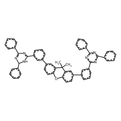 CC1(C)c2cc(-c3cccc(C4=NC(c5ccccc5)=NC(c5ccccc5)N4)c3)ccc2Oc2ccc(-c3cccc(-c4nc(-c5ccccc5)nc(-c5ccccc5)n4)c3)cc21